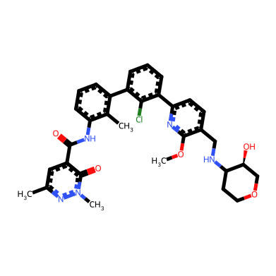 COc1nc(-c2cccc(-c3cccc(NC(=O)c4cc(C)nn(C)c4=O)c3C)c2Cl)ccc1CNC1CCOC[C@@H]1O